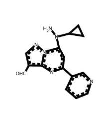 NN(c1cc(-c2cccnc2)nc2c(C=O)cnn12)C1CC1